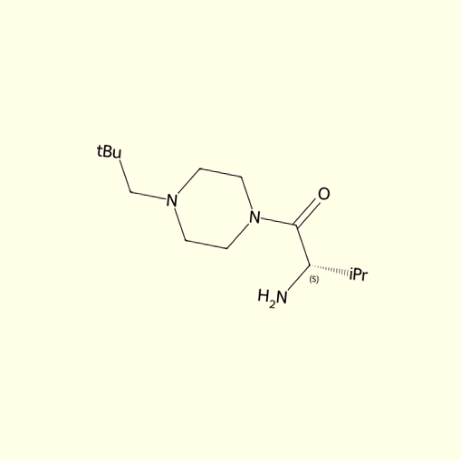 CC(C)[C@H](N)C(=O)N1CCN(CC(C)(C)C)CC1